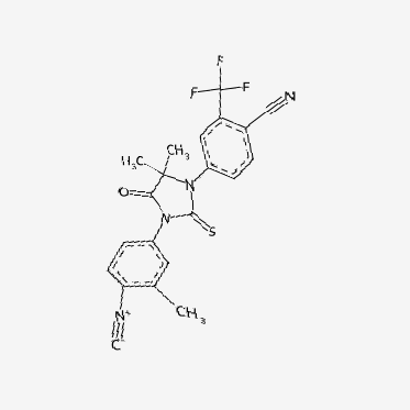 [C-]#[N+]c1ccc(N2C(=O)C(C)(C)N(c3ccc(C#N)c(C(F)(F)F)c3)C2=S)cc1C